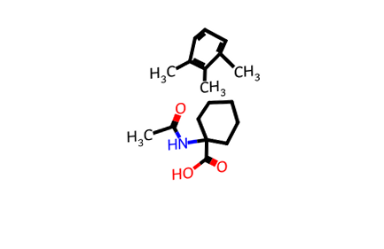 CC(=O)NC1(C(=O)O)CCCCC1.Cc1cccc(C)c1C